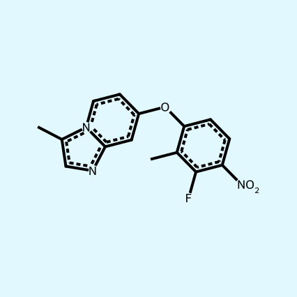 Cc1c(Oc2ccn3c(C)cnc3c2)ccc([N+](=O)[O-])c1F